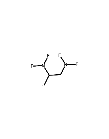 [CH2]C(CN(F)F)N(F)F